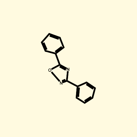 c1ccc(-c2noc(-c3ccccc3)n2)cc1